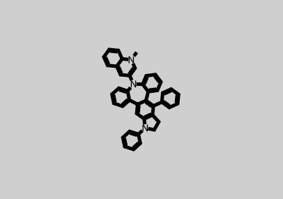 CN1C=C(N2c3ccccc3-c3cc4c(c(-c5ccccc5)c3-c3ccccc32)CCN4c2ccccc2)C=C2C=CC=CC21